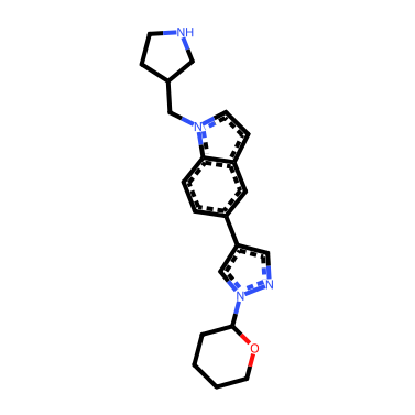 c1cc2c(ccn2CC2CCNC2)cc1-c1cnn(C2CCCCO2)c1